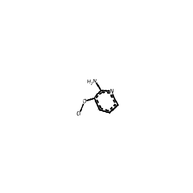 Nc1ncc[c]c1OCl